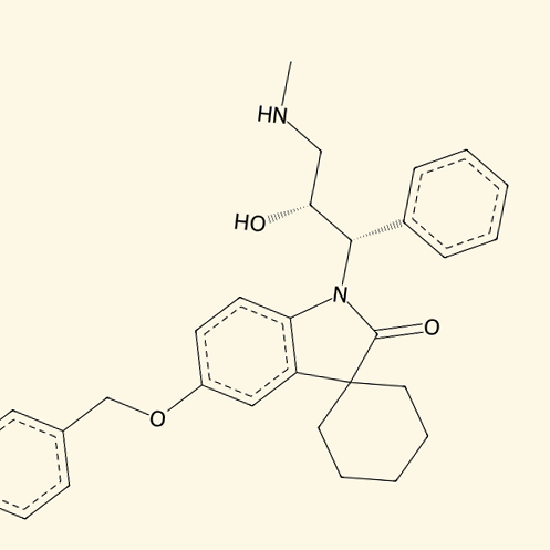 CNC[C@@H](O)[C@H](c1ccccc1)N1C(=O)C2(CCCCC2)c2cc(OCc3ccccc3)ccc21